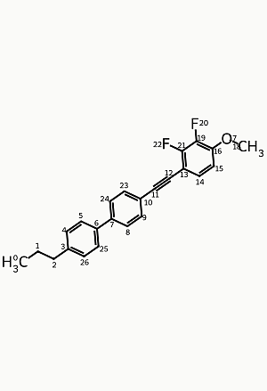 CCCc1ccc(-c2ccc(C#Cc3ccc(OC)c(F)c3F)cc2)cc1